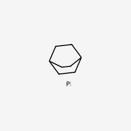 C1CC2CCC1CC2.[P]